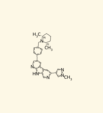 C[C@@H]1CCC[C@H](C)N1Cc1ccc(-c2cnc3[nH]c4cnc(-c5cnn(C)c5)cc4c3c2)cc1